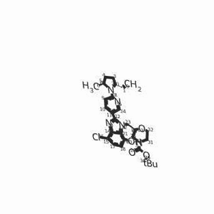 C=C[C@H]1CC[C@H](C)N1c1ccc(-c2nc3c(Cl)ccc(O)c3n2C[C@@H]2CN(C(=O)OC(C)(C)C)CCO2)cn1